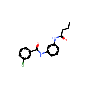 CCCC(=O)Nc1cccc(NC(=O)c2cccc(Cl)c2)c1